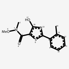 CON(C)C(=O)c1sc(-c2ccccc2C)nc1O